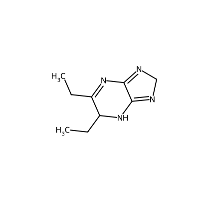 CCC1=NC2=NCN=C2NC1CC